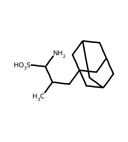 CC(CC12CC3CC(CC(C3)C1)C2)C(N)S(=O)(=O)O